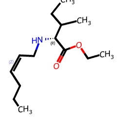 CCC/C=C\CN[C@@H](C(=O)OCC)C(C)CC